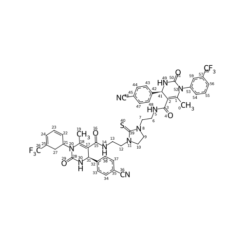 CC1=C(C(=O)NCCN2CCN(CCNC(=O)C3=C(C)N(C4C=CC=C(C(F)(F)F)C4)C(=O)N[C@@H]3c3ccc(C#N)cc3)C2=S)[C@@H](c2ccc(C#N)cc2)NC(=O)N1c1cccc(C(F)(F)F)c1